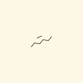 CCCCCC.[CH2]C